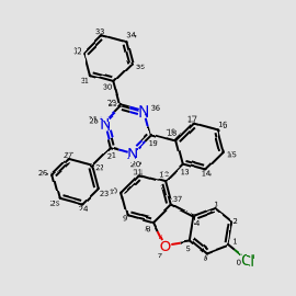 Clc1ccc2c(c1)oc1cccc(-c3ccccc3-c3nc(-c4ccccc4)nc(-c4ccccc4)n3)c12